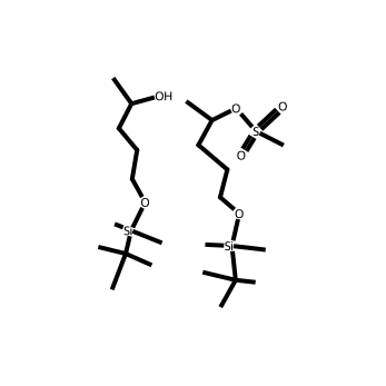 CC(CCCO[Si](C)(C)C(C)(C)C)OS(C)(=O)=O.CC(O)CCCO[Si](C)(C)C(C)(C)C